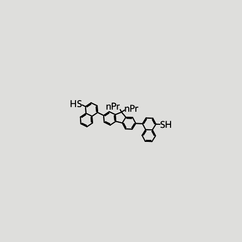 CCCC1(CCC)c2cc(-c3ccc(S)c4ccccc34)ccc2-c2ccc(-c3ccc(S)c4ccccc34)cc21